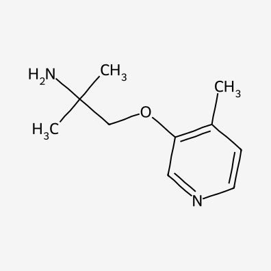 Cc1ccncc1OCC(C)(C)N